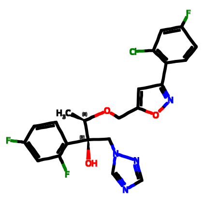 C[C@@H](OCc1cc(-c2ccc(F)cc2Cl)no1)[C@](O)(Cn1cncn1)c1ccc(F)cc1F